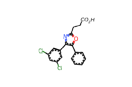 O=C(O)CCc1nc(-c2cc(Cl)cc(Cl)c2)c(-c2ccccc2)o1